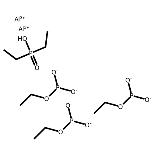 CCOP([O-])[O-].CCOP([O-])[O-].CCOP([O-])[O-].CCP(=O)(O)CC.[Al+3].[Al+3]